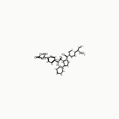 N[C@H](CF)[C@H]1CC[C@H](C(=O)N2CC[C@@H](N3CCCCC3)[C@H]2C(=O)Nc2ccc(-c3nc(=O)o[nH]3)cc2)CC1